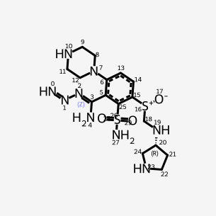 N=N/N=C(\N)c1c(N2CCNCC2)ccc([S+]([O-])CN[C@@H]2CCNC2)c1S(N)(=O)=O